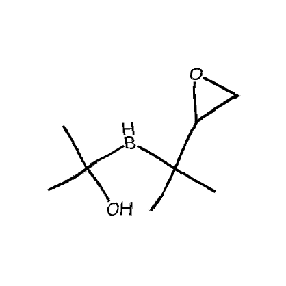 CC(C)(O)BC(C)(C)C1CO1